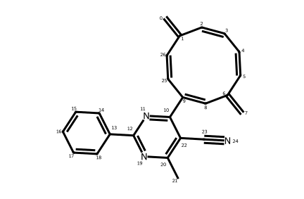 C=c1ccccc(=C)cc(-c2nc(-c3ccccc3)nc(C)c2C#N)cc1